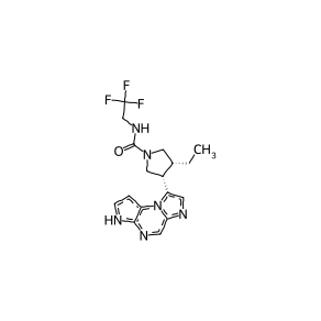 CC[C@H]1CN(C(=O)NCC(F)(F)F)C[C@H]1c1cnc2cnc3[nH]ccc3n12